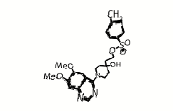 COc1cc2ncnc(N3CCC(O)(CCOS(=O)(=O)c4ccc(C)cc4)CC3)c2cc1OC